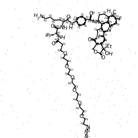 CC[C@@]1(O)C(=O)OCc2c1cc1n(c2=O)Cc2c-1nc1cc(F)c(C)c3c1c2[C@@H](NC(=O)c1ccc(NC(=O)[C@H](CCCCN)NC(=O)[C@@H](NC(=O)CCOCCOCCOCCOCCOCCOCCN=[N+]=[N-])C(C)C)cc1)CC3